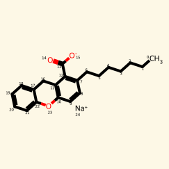 CCCCCCCc1ccc2c(c1C(=O)[O-])Cc1ccccc1O2.[Na+]